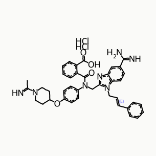 CC(=N)N1CCC(Oc2ccc(N(Cc3nc4cc(C(=N)N)ccc4n3C/C=C/c3ccccc3)C(=O)c3ccccc3C(=O)O)cc2)CC1.Cl.Cl